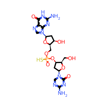 Nc1ncn([C@H]2C[C@@H](OP(=O)(S)OC[C@H]3O[C@@H](n4cnc5c(=O)[nH]c(N)nc54)C[C@H]3O)[C@@H](CO)O2)c(=O)n1